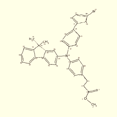 COC(=O)CCc1ccc(N(c2ccc(-c3ccc(Br)s3)cc2)c2ccc3c(c2)C(C)(C)c2ccccc2-3)cc1